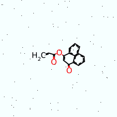 C=CC(=O)OC1=CC(=O)c2cccc3cccc1c23